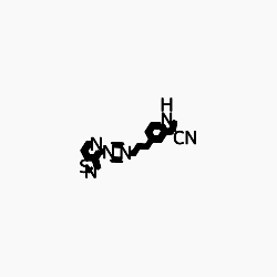 N#Cc1c[nH]c2ccc(CCCN3CCN(c4nccc5sncc45)CC3)cc12